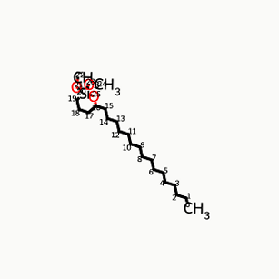 CCCCCCCCCCCCCCCCC1CCC[Si](OC)(OC)O1